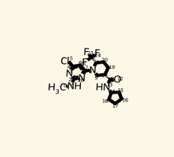 CNc1nc(Cl)cc(N2C[C@@H](C(=O)NC3CCCC3)CC[C@H]2C(F)(F)F)n1